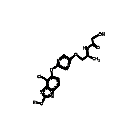 CCOc1nc2ccc(Oc3cnc(OCC(C)NC(=O)CO)cn3)c(Cl)c2s1